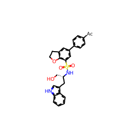 CC(=O)c1ccc(-c2cc3c(c(S(=O)(=O)N[C@@H](CO)Cc4c[nH]c5ccccc45)c2)OCC3)cc1